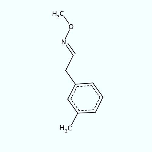 CON=CCc1cccc(C)c1